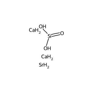 O=[Si](O)O.[CaH2].[CaH2].[SrH2]